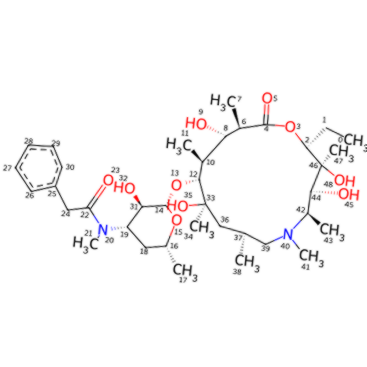 CC[C@H]1OC(=O)[C@H](C)[C@@H](O)[C@H](C)[C@@H](O[C@@H]2O[C@H](C)C[C@H](N(C)C(=O)Cc3ccccc3)[C@H]2O)[C@](C)(O)C[C@@H](C)CN(C)[C@H](C)[C@@H](O)[C@]1(C)O